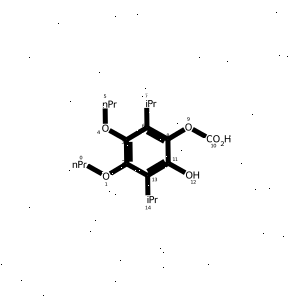 CCCOc1c(OCCC)c(C(C)C)c(OC(=O)O)c(O)c1C(C)C